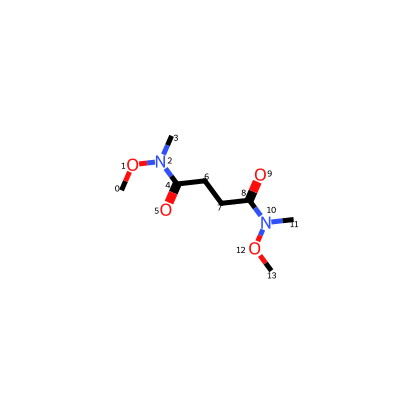 CON(C)C(=O)CCC(=O)N(C)OC